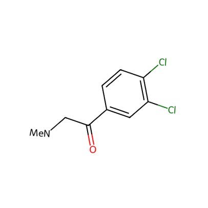 CNCC(=O)c1ccc(Cl)c(Cl)c1